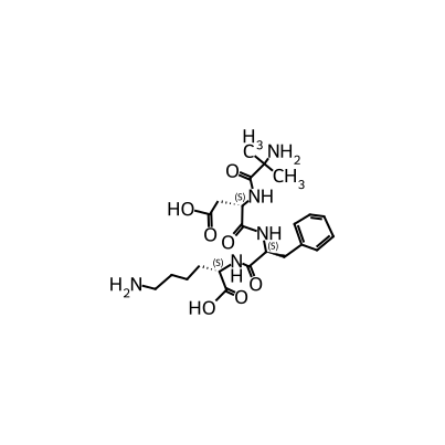 CC(C)(N)C(=O)N[C@@H](CC(=O)O)C(=O)N[C@@H](Cc1ccccc1)C(=O)N[C@@H](CCCCN)C(=O)O